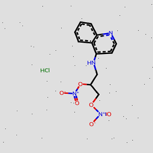 Cl.O=[N+]([O-])OCC(CNc1ccnc2ccccc12)O[N+](=O)[O-]